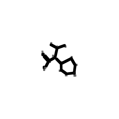 CC(C)N(C(=O)Cl)C1CCOCC1